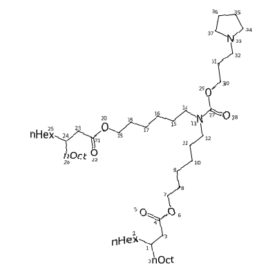 CCCCCCCCC(CCCCCC)CC(=O)OCCCCCCN(CCCCCCOC(=O)CC(CCCCCC)CCCCCCCC)C(=O)OCCCN1CCCC1